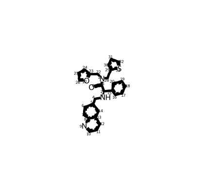 O=C([C@H](NCc1ccc2ncccc2c1)c1ccccc1)N(Cc1ccco1)Cc1cccs1